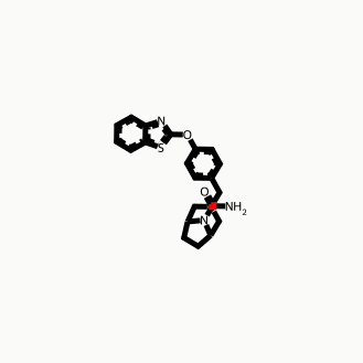 NC(=O)N1C2CCC1CN(Cc1ccc(Oc3nc4ccccc4s3)cc1)C2